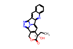 CC[C@@]1(O)C(=O)OCc2c1cc1c3nc4ccccc4cc3c3nnc2n13